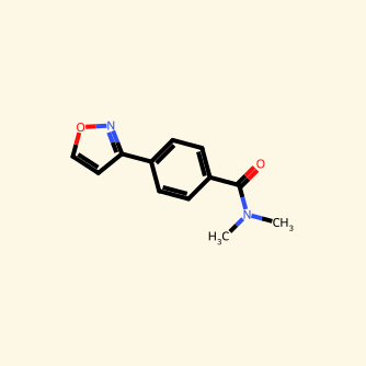 CN(C)C(=O)c1ccc(-c2ccon2)cc1